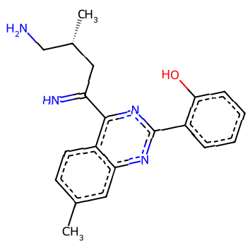 Cc1ccc2c(C(=N)C[C@@H](C)CN)nc(-c3ccccc3O)nc2c1